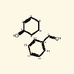 O=C1C=CCCC1.O=Cc1ccccc1